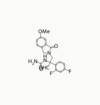 COc1ccc2c(c1)C(=O)N(CC(C=O)(NC(N)=O)c1ccc(F)cc1F)C2